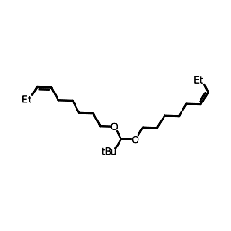 CC/C=C\CCCCCOC(OCCCCC/C=C\CC)C(C)(C)C